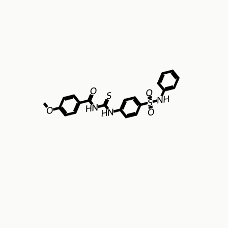 COc1ccc(C(=O)NC(=S)Nc2ccc(S(=O)(=O)Nc3ccccc3)cc2)cc1